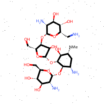 CN[C@@H]1C[C@H](N)[C@@H](O[C@H]2O[C@H](CO)[C@@H](O)[C@H](O)[C@H]2N)[C@H](O[C@@H]2O[C@H](CO)[C@@H](O[C@H]3O[C@@H](CN)[C@@H](O)[C@H](O)[C@H]3N)[C@H]2O)[C@H]1O